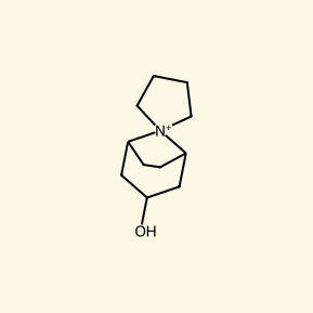 OC1CC2CCC(C1)[N+]21CCCC1